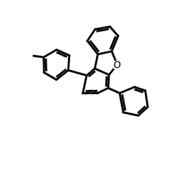 Cc1ccc(-c2ccc(-c3ccccc3)c3oc4ccccc4c23)cc1